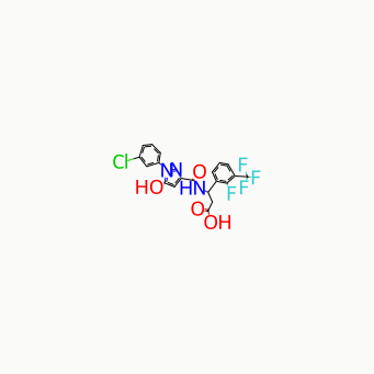 O=C(O)CC(NC(=O)c1cc(O)n(-c2cccc(Cl)c2)n1)c1cccc(C(F)(F)F)c1F